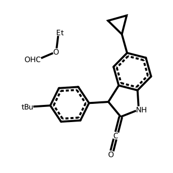 CC(C)(C)c1ccc(C2C(=C=O)Nc3ccc(C4CC4)cc32)cc1.CCOC=O